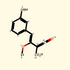 CCOC(=Cc1cccc(OC)c1)C(=C=O)C(=O)O